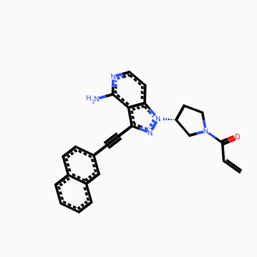 C=CC(=O)N1CC[C@@H](n2nc(C#Cc3ccc4ccccc4c3)c3c(N)nccc32)C1